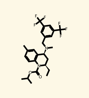 CC[C@@H]1C[C@H](N(C)Cc2cc(C(F)(F)F)cc(C(F)(F)F)c2)c2cc(C)ccc2N1C(=O)OC(C)C